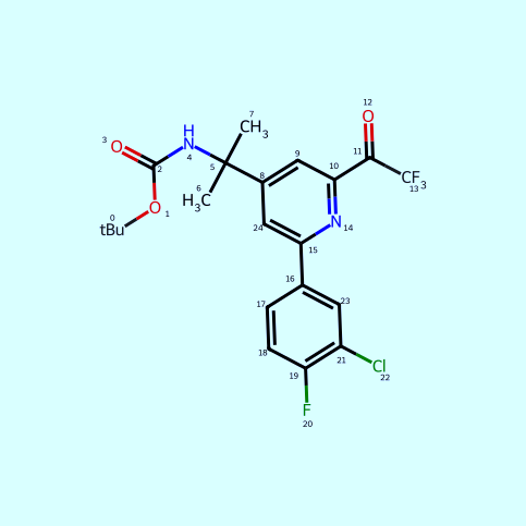 CC(C)(C)OC(=O)NC(C)(C)c1cc(C(=O)C(F)(F)F)nc(-c2ccc(F)c(Cl)c2)c1